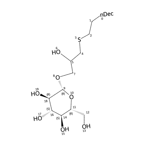 CCCCCCCCCCCCSCC(O)CO[C@@H]1O[C@H](CO)[C@@H](O)[C@H](O)[C@H]1O